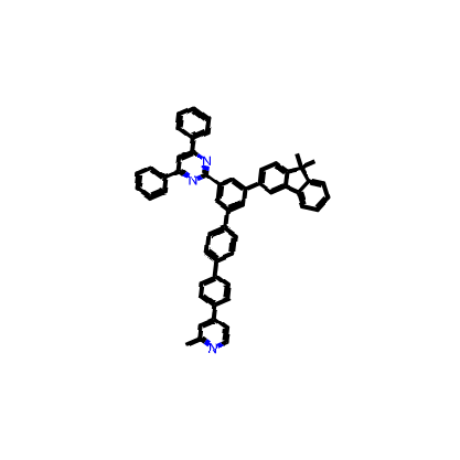 Cc1cc(-c2ccc(-c3ccc(-c4cc(-c5ccc6c(c5)-c5ccccc5C6(C)C)cc(-c5nc(-c6ccccc6)cc(-c6ccccc6)n5)c4)cc3)cc2)ccn1